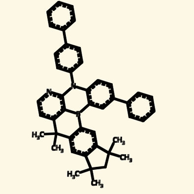 CC1(C)CC(C)(C)c2cc3c(cc21)B1c2cc(-c4ccccc4)ccc2N(c2ccc(-c4ccccc4)cc2)c2nccc(c21)C3(C)C